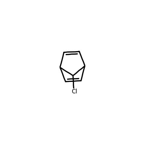 ClC1C2C=CC1C=C2